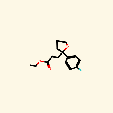 CCOC(=O)CCC1(c2ccc(F)cc2)CCCO1